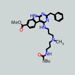 CCCCC(=O)NCCCN(C)CCCNc1nc(Cc2ccccc2)nc2[nH]c3cc(C(=O)OC)ccc3c12